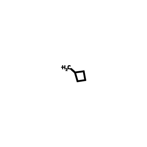 [CH2]C1CCC1